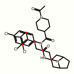 CC(=O)N1CCC(C(=O)N(CCCN2C3CCC2CC(NC(=O)COc2ccc(Cl)cc2Cl)C3)c2ccc(C)c(Cl)c2)CC1